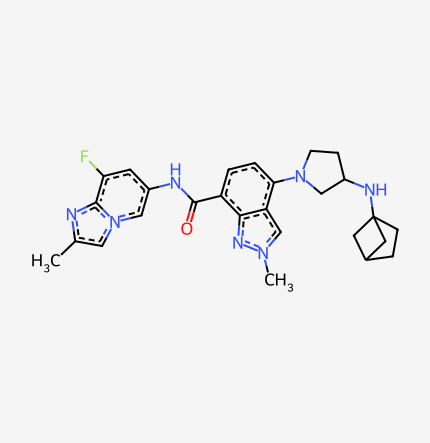 Cc1cn2cc(NC(=O)c3ccc(N4CCC(NC56CCC(C5)C6)C4)c4cn(C)nc34)cc(F)c2n1